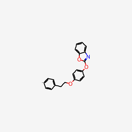 [c]1ccc(CCOc2ccc(Oc3nc4ccccc4o3)cc2)cc1